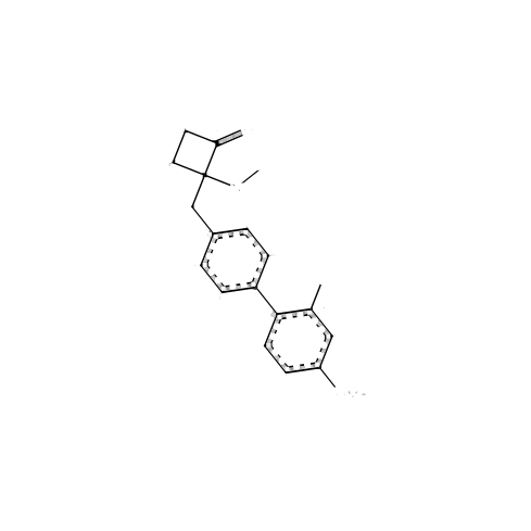 CCNC1(Cc2ccc(-c3ccc(OC)cc3CC)cc2)CCC1=O